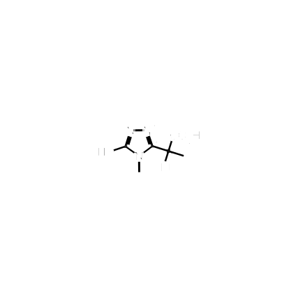 CCC(C)(C(=O)O)c1nnc(S)n1C